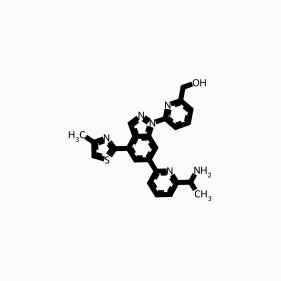 Cc1csc(-c2cc(-c3cccc(C(C)N)n3)cc3c2cnn3-c2cccc(CO)n2)n1